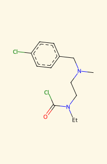 CCN(CCN(C)Cc1ccc(Cl)cc1)C(=O)Cl